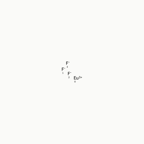 [Eu+3].[F-].[F-].[F-]